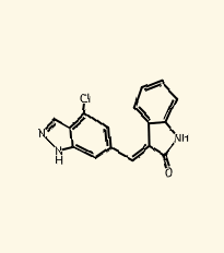 O=C1Nc2ccccc2/C1=C\c1cc(Cl)c2cn[nH]c2c1